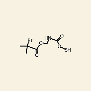 CCC(C)(C)C(=O)OCNC(=O)OS